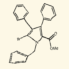 COC(=O)c1c(-c2ccccc2)c(-c2ccccc2)c(Br)n1Cc1ccccc1